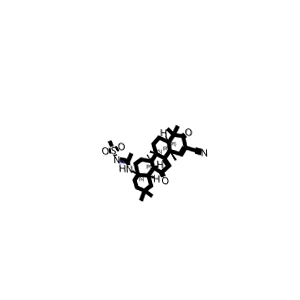 C/C(=N\S(C)(=O)=O)N[C@]12CCC(C)(C)C[C@H]1[C@H]1C(=O)C=C3[C@@]4(C)C=C(C#N)C(=O)C(C)(C)[C@@H]4CC[C@@]3(C)[C@]1(C)CC2